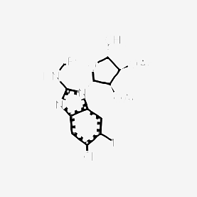 CC(=O)O[C@@H]1[C@H](OC(C)=O)[C@@H](C)O[C@H]1n1c(NC(C)C)nc2cc(Cl)c(F)cc21